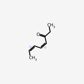 C/C=C\C=C/C(=O)CC